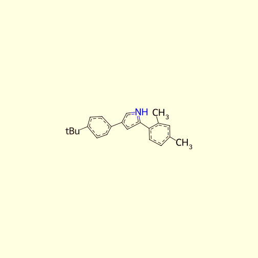 Cc1ccc(-c2cc(-c3ccc(C(C)(C)C)cc3)c[nH]2)c(C)c1